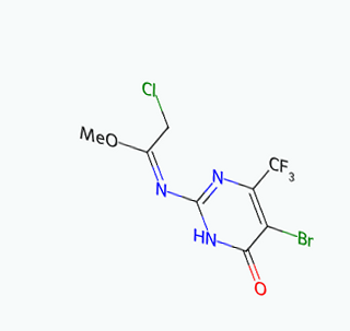 COC(CCl)=Nc1nc(C(F)(F)F)c(Br)c(=O)[nH]1